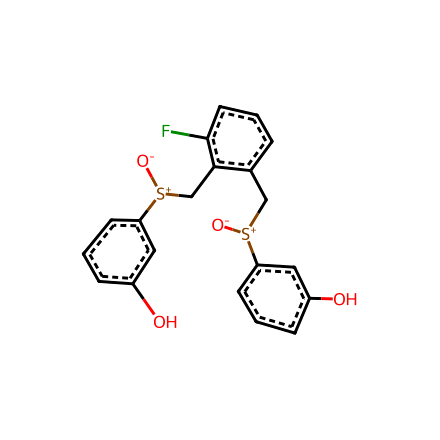 [O-][S+](Cc1cccc(F)c1C[S+]([O-])c1cccc(O)c1)c1cccc(O)c1